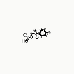 Cc1ccc(S(=O)(=O)COS(=O)O)cc1